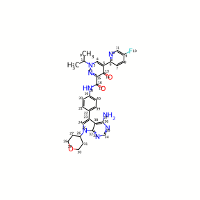 CC(C)n1cc(-c2ccc(F)cn2)c(=O)c(C(=O)Nc2ccc(-c3cn(C4CCOCC4)c4ncnc(N)c34)cc2)n1